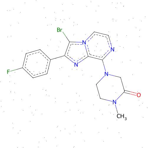 CN1CCN(c2nccn3c(Br)c(-c4ccc(F)cc4)nc23)CC1=O